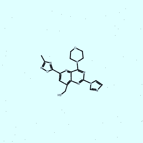 Cc1noc(-c2cc(CS)c3nc(-n4ccnc4)nc(N4CCOCC4)c3n2)n1